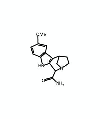 COc1ccc2[nH]c3c(c2c1)C1CCN(C1)C3C(N)=O